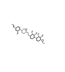 C/C=C/c1ccc(C2CCC(CCc3ccc(-c4ccc(OCC)c(F)c4F)c(F)c3F)OC2)c(F)c1